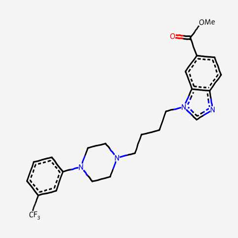 COC(=O)c1ccc2ncn(CCCCN3CCN(c4cccc(C(F)(F)F)c4)CC3)c2c1